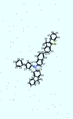 CC1(C)c2ccccc2-c2cc(N(c3ccc(-c4ccccc4)cc3)c3ccc4cc(-c5ccc6c(c5)C(C)(C)c5c-6sc6ccccc56)ccc4c3)ccc21